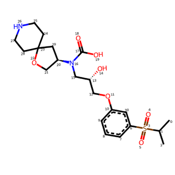 CC(C)S(=O)(=O)c1cccc(OC[C@@H](O)CN(C(=O)O)[C@H]2COC3(CCNCC3)C2)c1